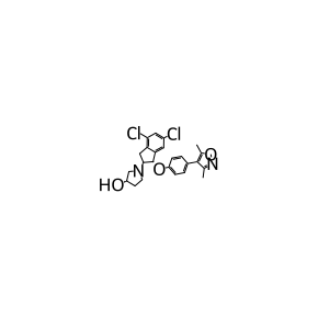 Cc1noc(C)c1-c1ccc(O[C@@H]2c3cc(Cl)cc(Cl)c3C[C@@H]2N2CC[C@@H](O)C2)cc1